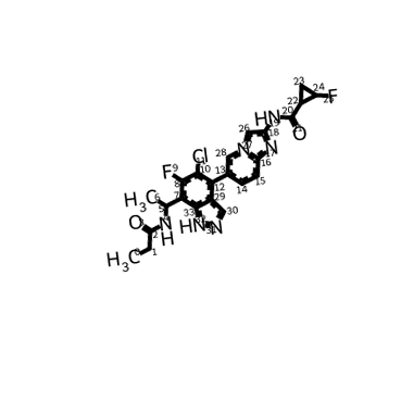 CCC(=O)NC(C)c1c(F)c(Cl)c(-c2ccc3nc(NC(=O)C4CC4F)cn3c2)c2cn[nH]c12